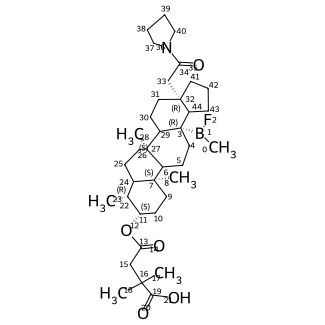 CB(F)[C@]12CCC3[C@@]4(C)CC[C@H](OC(=O)CC(C)(C)C(=O)O)[C@H](C)C4CC[C@@]3(C)C1CC[C@@]1(CC(=O)N3CCCC3)CCCC12